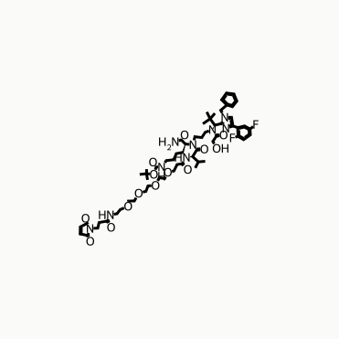 CC(C)[C@H](NC(=O)CCOCCOCCOCCOCCNC(=O)CCN1C(=O)C=CC1=O)C(=O)N(CCCN(C(=O)CO)[C@@H](c1nc(-c2cc(F)ccc2F)cn1Cc1ccccc1)C(C)(C)C)[C@@H](CCCCNC(=O)OC(C)(C)C)C(N)=O